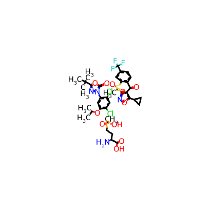 CC(C)Oc1cc(-n2nc(C(C)(C)C)oc2=O)c(Cl)cc1Cl.CP(=O)(O)CCC(N)C(=O)O.CS(=O)(=O)c1cc(C(F)(F)F)ccc1C(=O)c1cnoc1C1CC1